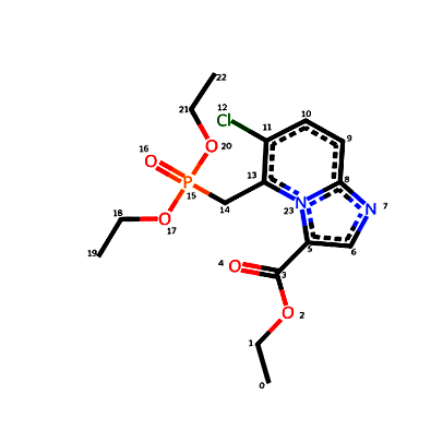 CCOC(=O)c1cnc2ccc(Cl)c(CP(=O)(OCC)OCC)n12